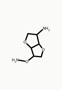 NOC1COC2C(N)COC12